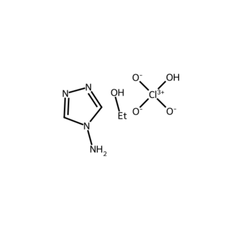 CCO.Nn1cnnc1.[O-][Cl+3]([O-])([O-])O